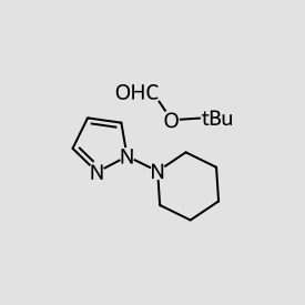 CC(C)(C)OC=O.c1cnn(N2CCCCC2)c1